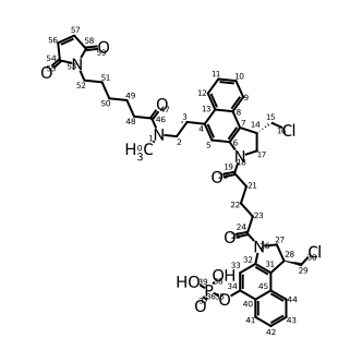 CN(C[CH]c1cc2c(c3ccccc13)[C@H](CCl)CN2C(=O)CCCC(=O)N1C[C@@H](CCl)c2c1cc(OP(=O)(O)O)c1ccccc21)C(=O)CCCCCN1C(=O)C=CC1=O